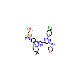 O=S(=O)(CCO)Nc1ccc(-n2cc(-c3cc(NC4CCOCC4)nc(N4CCC(F)(F)CC4)n3)nn2)c(N2CCC3(CC2)CC3)c1